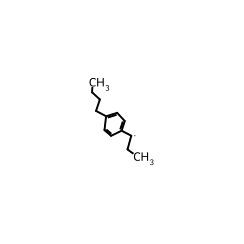 CC[CH]c1ccc(CCCC)cc1